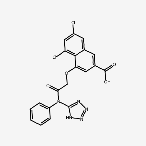 O=C(O)c1cc(OCC(=O)N(c2ccccc2)c2nnn[nH]2)c2c(Cl)cc(Cl)cc2c1